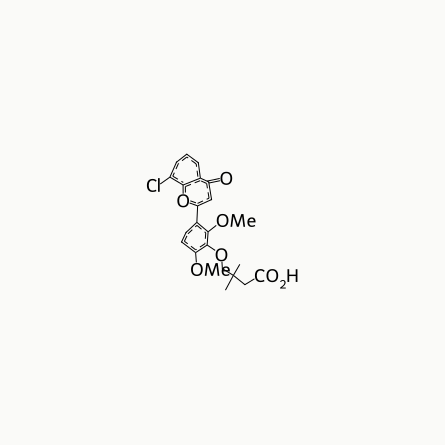 COc1ccc(-c2cc(=O)c3cccc(Cl)c3o2)c(OC)c1OCC(C)(C)CC(=O)O